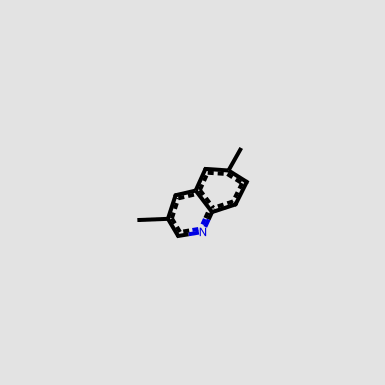 Cc1ccc2ncc(C)cc2c1